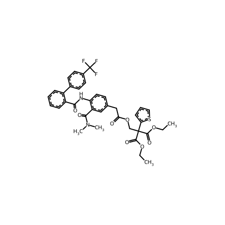 CCOC(=O)C(COC(=O)Cc1ccc(NC(=O)c2ccccc2-c2ccc(C(F)(F)F)cc2)c(C(=O)N(C)C)c1)(C(=O)OCC)c1cccs1